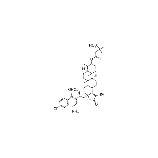 CC(C)C1=C2C3CC[C@H]4C(C)(CC[C@H]5C(C)C(OC(=O)CC(C)(C)C(=O)O)CCC54C)C3CCC2(C/C(=C/C=O)N(CCN)N(C)c2ccc(Cl)cc2)CC1=O